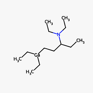 CCC(C[CH2][Ga]([CH2]C)[CH2]C)N(CC)CC